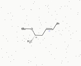 CC(C)/C=C/C[C@H](C)OC(C)(C)C